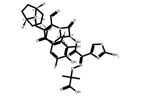 CC(C)(O/N=C(\C(=O)N[C@@H]1C(=O)N2C(C=O)=C(C[N@+]3(C)[C@@H]4CC[C@H]3C[C@@H](NC(=O)c3cc(F)c(O)c(O)c3F)C4)CS[C@H]12)c1csc(N)n1)C(=O)O